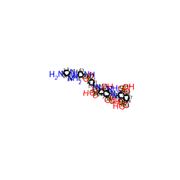 Nc1ccc(/N=N/c2ccc(NS(=O)(=O)c3ccc(/N=N/c4c(S(=O)(=O)O)cc5cc(S(=O)(=O)O)c(/N=N/c6cc(S(=O)(=O)O)c7cccc(S(=O)(=O)O)c7c6)c(N)c5c4O)cc3)cc2)c(N)c1